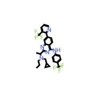 CCCN(CC1CC1)C(C)c1nc(Nc2ccc(C(F)(F)F)cc2)c2ccc(-c3ncccc3C(F)(F)F)cc2n1